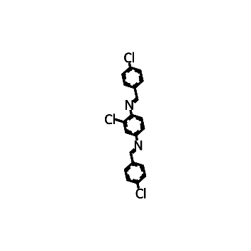 Clc1ccc(C=Nc2ccc(N=Cc3ccc(Cl)cc3)c(Cl)c2)cc1